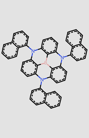 c1cc2c3c(c1)N(c1cccc4ccccc14)c1cccc4c1B3c1c(cccc1N4c1cccc3ccccc13)N2c1cccc2ccccc12